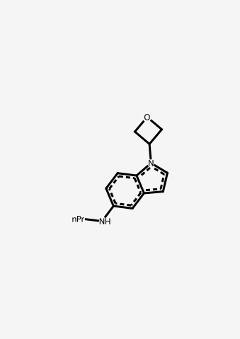 CCCNc1ccc2c(ccn2C2COC2)c1